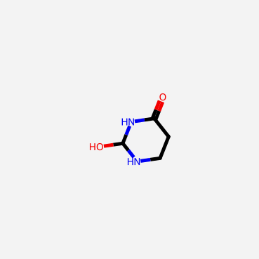 O=C1CCNC(O)N1